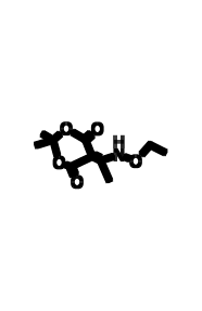 CCONC(C)=C1C(=O)OC(C)(C)OC1=O